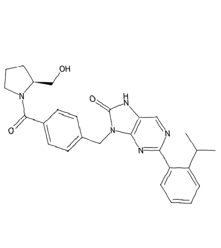 CC(C)c1ccccc1-c1ncc2[nH]c(=O)n(Cc3ccc(C(=O)N4CCC[C@H]4CO)cc3)c2n1